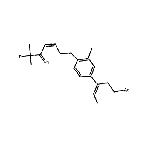 C/C=C(\CCC(C)=O)c1ccc(CC/C=C\C(=N)C(C)(C)F)c(C)c1